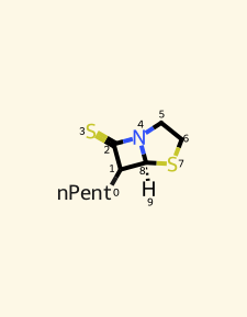 CCCCCC1C(=S)N2CCS[C@@H]12